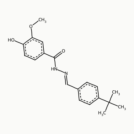 COc1cc(C(=O)N/N=C/c2ccc(C(C)(C)C)cc2)ccc1O